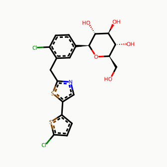 OC[C@H]1O[C@@H](c2ccc(Cl)c(Cc3ncc(-c4ccc(Cl)s4)s3)c2)[C@H](O)[C@@H](O)[C@@H]1O